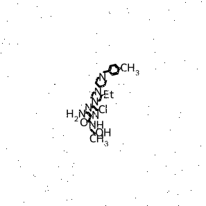 CC[C@H]1CN(c2nc(N)c(C(=O)NCC(C)O)nc2Cl)CCN1C1CCN(Cc2ccc(C)cc2)CC1